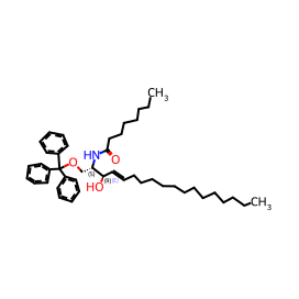 CCCCCCCCCCCCC/C=C/[C@@H](O)[C@H](COC(c1ccccc1)(c1ccccc1)c1ccccc1)NC(=O)CCCCCCC